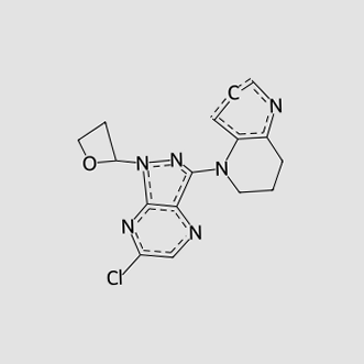 Clc1cnc2c(N3CCCc4ncccc43)nn(C3CCO3)c2n1